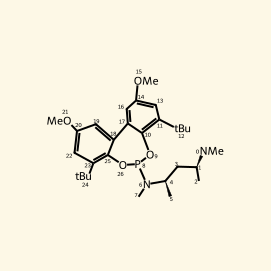 CN[C@@H](C)C[C@@H](C)N(C)p1oc2c(C(C)(C)C)cc(OC)cc2c2cc(OC)cc(C(C)(C)C)c2o1